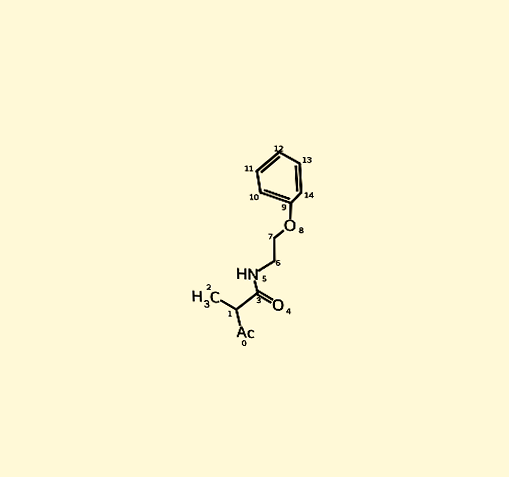 CC(=O)C(C)C(=O)NCCOc1ccccc1